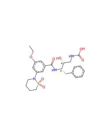 CCOc1cc(C(=O)N[C@@H](Cc2ccccc2)[C@H](O)CNC(=O)O)cc(N2CCCCS2(=O)=O)c1